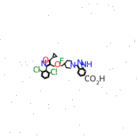 O=C(O)c1ccc2c(N3CCC(F)(COCc4c(-c5c(Cl)cccc5Cl)noc4C4CC4)CC3)n[nH]c2c1